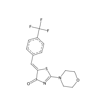 O=C1N=C(N2CCOCC2)SC1=Cc1ccc(C(F)(F)F)cc1